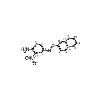 Nc1ccc(/N=C/c2ccc3ccccc3c2)cc1[N+](=O)[O-]